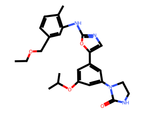 CCOCc1ccc(C)c(Nc2ncc(-c3cc(OC(C)C)cc(N4CCNC4=O)c3)o2)c1